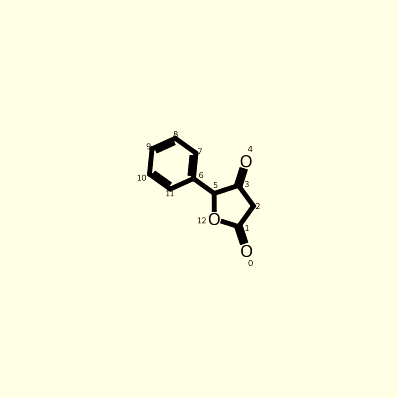 O=C1CC(=O)C(c2ccccc2)O1